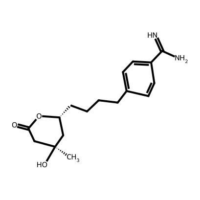 C[C@]1(O)CC(=O)O[C@H](CCCCc2ccc(C(=N)N)cc2)C1